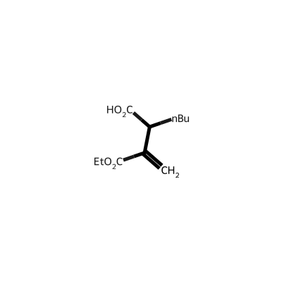 C=C(C(=O)OCC)C(CCCC)C(=O)O